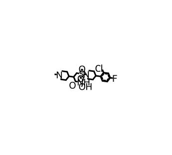 CN1CCC(C(CS(=O)(=O)N2CCC(c3ccc(F)cc3Cl)CC2)C(=O)NO)CC1